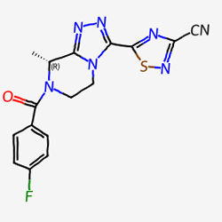 C[C@@H]1c2nnc(-c3nc(C#N)ns3)n2CCN1C(=O)c1ccc(F)cc1